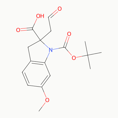 COc1ccc2c(c1)N(C(=O)OC(C)(C)C)C(CC=O)(C(=O)O)C2